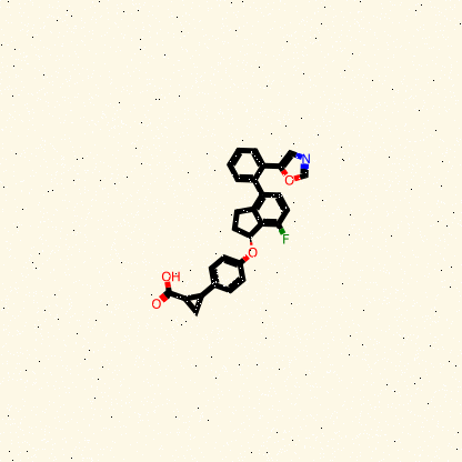 O=C(O)C1CC1c1ccc(O[C@@H]2CCc3c(-c4ccccc4-c4cnco4)ccc(F)c32)cc1